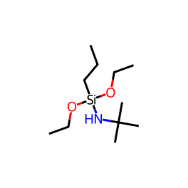 CCC[Si](NC(C)(C)C)(OCC)OCC